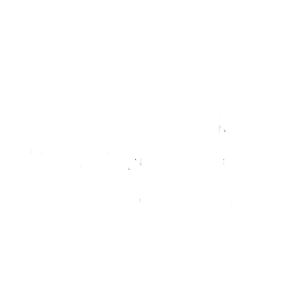 CC(C)(C)OC(=O)N1CCC(C2(N)CCC2)C1